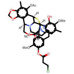 COc1cc2c(cc1OC(=O)CCCl)CCN[C@]21CS[C@@H]2c3c(OC(C)=O)c(C)c4c(c3[C@H](COC1=O)N1C2[C@H]2c3c(cc(C)c(OC)c3O)C[C@H]([C@@H]1C#N)N2C)OCO4